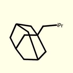 [CH2]C(C)CC12CC3CC(CC(C3)C1)C2